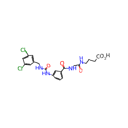 O=C(O)CCCNC(=O)CNC(=O)c1cccc(NC(=O)NCc2cc(Cl)cc(Cl)c2)c1